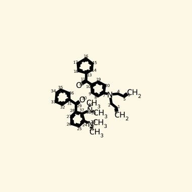 C=CCN(CC=C)c1ccc(C(=O)c2ccccc2)cc1.CN(C)c1cccc(C(=O)c2ccccc2)c1N(C)C